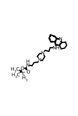 CC(C)(C)OC(=O)NCCCN1CCN(CCCNc2c3c(nc4ccccc24)CCCC3)CC1